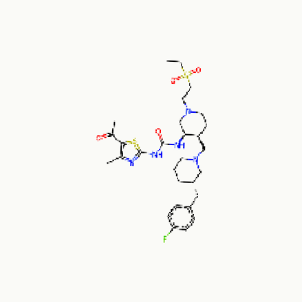 CCS(=O)(=O)CCN1CC[C@@H](CN2CCC[C@@H](Cc3ccc(F)cc3)C2)[C@@H](NC(=O)Nc2nc(C)c(C(C)=O)s2)C1